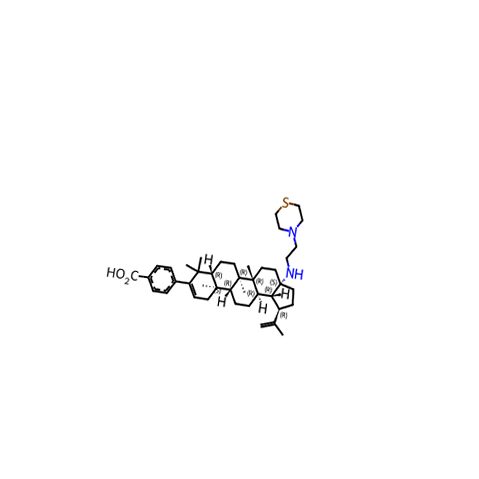 C=C(C)[C@@H]1CC[C@]2(NCCN3CCSCC3)CC[C@]3(C)[C@H](CC[C@@H]4[C@@]5(C)CC=C(c6ccc(C(=O)O)cc6)C(C)(C)[C@@H]5CC[C@]43C)[C@@H]12